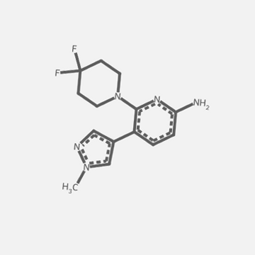 Cn1cc(-c2ccc(N)nc2N2CCC(F)(F)CC2)cn1